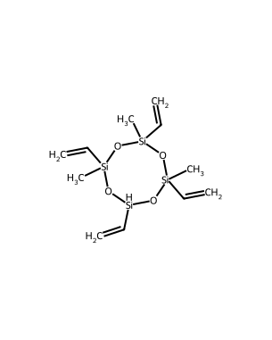 C=C[SiH]1O[Si](C)(C=C)O[Si](C)(C=C)O[Si](C)(C=C)O1